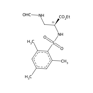 CCOC(=O)[C@H](CNC=O)NS(=O)(=O)c1c(C)cc(C)cc1C